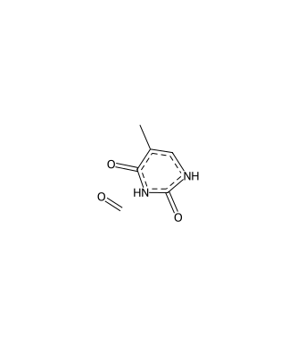 C=O.Cc1c[nH]c(=O)[nH]c1=O